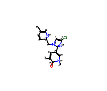 Cc1ccc(Cn2cc(Cl)nc2-c2cc(C)c(=O)n(C)c2)nc1